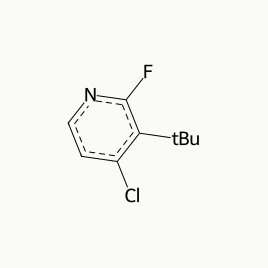 CC(C)(C)c1c(Cl)ccnc1F